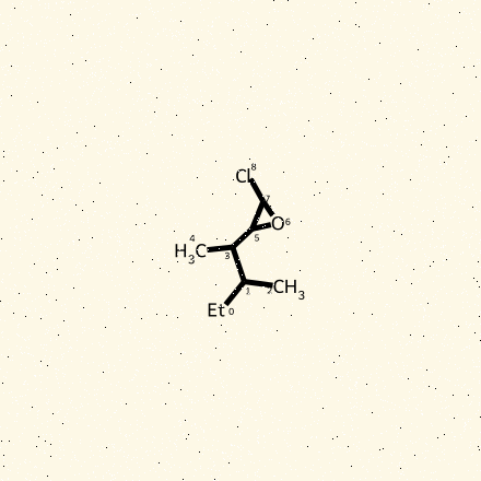 CCC(C)C(C)C1OC1Cl